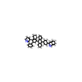 c1ccc(-c2cc(-c3c4ccccc4c(-c4ccc(-c5cc6ccccc6cn5)cc4)c4ccccc34)c3ccccc3c2-c2cccnc2)cc1